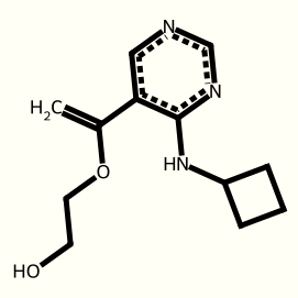 C=C(OCCO)c1cncnc1NC1CCC1